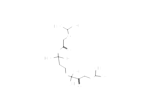 CC(C)OCC(=O)OC(C)(C)CCOC(C)(C)C(=O)COC(C)C